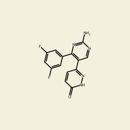 Nc1ncc(-c2ccc(=O)[nH]n2)c(-c2cc(F)cc(F)c2)n1